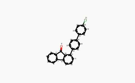 O=C1c2ccccc2-c2cccc(-c3ccc(-c4ccc(Cl)cc4)cc3)c21